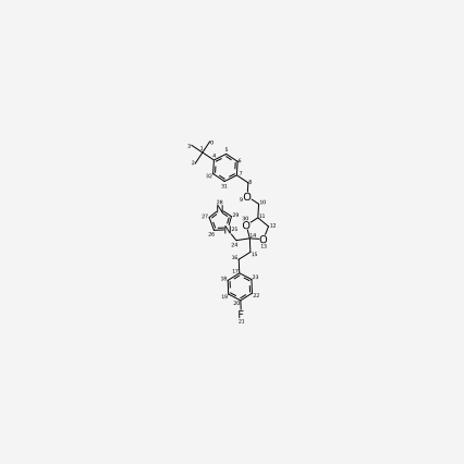 CC(C)(C)c1ccc(COCC2COC(CCc3ccc(F)cc3)(Cn3ccnc3)O2)cc1